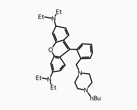 CCCCN1CCN(Cc2ccccc2C2=C3C=CC(N(CC)CC)C=C3Oc3cc(N(CC)CC)ccc32)CC1